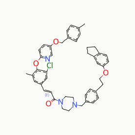 Cc1ccc(COc2ccc(Oc3c(C)cc(/C=C/C(=O)N4CCN(Cc5ccc(CCOc6ccc7c(c6)CCC7)cc5)CC4)cc3Cl)nc2)cc1